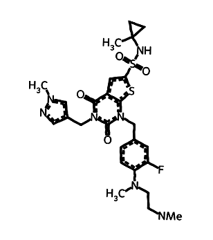 CNCCN(C)c1ccc(Cn2c(=O)n(Cc3cnn(C)c3)c(=O)c3cc(S(=O)(=O)NC4(C)CC4)sc32)cc1F